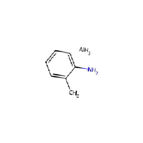 Cc1ccccc1N.[AlH3]